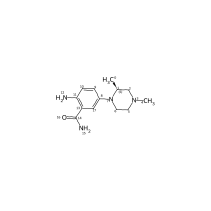 C[C@H]1CN(C)CCN1c1ccc(N)c(C(N)=O)c1